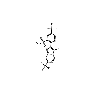 CCS(=O)(=O)c1cc(C(F)(F)F)cnc1-c1nc2cc(C(F)(F)F)ncn2c1C